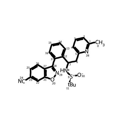 Cc1cccc(CC(N[S@@+]([O-])C(C)(C)C)c2ccccc2-c2noc3cc(C#N)ccc23)n1